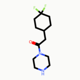 O=C(CC1CCC(F)(F)CC1)N1CCNCC1